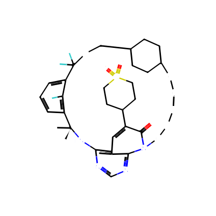 C[C@H]1Nc2ncnc3c2cc(C2CCS(=O)(=O)CC2)c(=O)n3CCCCCC2CCC(CC2)CCC(F)(F)c2cccc1c2F